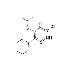 CC(C)Sc1[nH]n(Cl)[nH]sc1C1CCCCC1